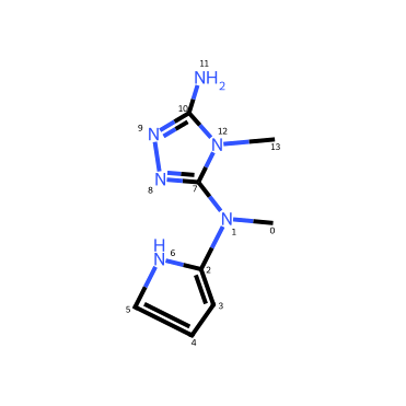 CN(c1ccc[nH]1)c1nnc(N)n1C